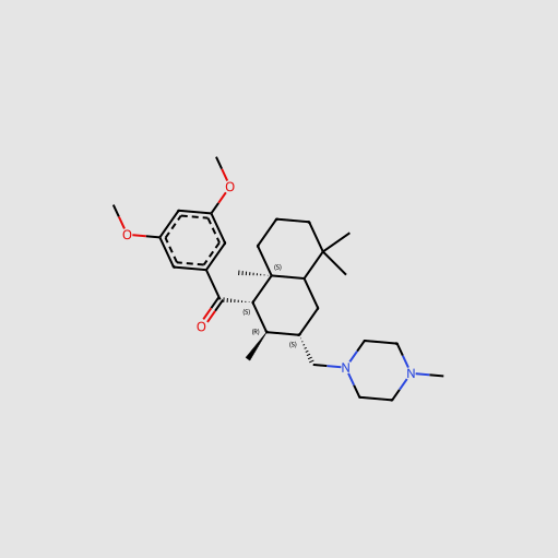 COc1cc(OC)cc(C(=O)[C@H]2[C@H](C)[C@@H](CN3CCN(C)CC3)CC3C(C)(C)CCC[C@@]32C)c1